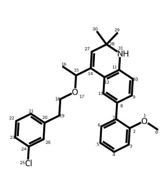 COc1ccccc1-c1ccc2c(c1)C(C(C)OCCc1cccc(Cl)c1)=CC(C)(C)N2